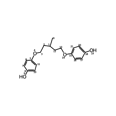 CC(CCOc1ccc(O)cc1)CCOc1ccc(O)cc1